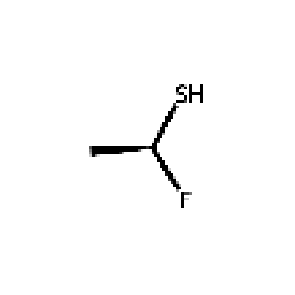 C[C@H](F)S